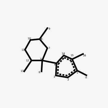 Cc1ccc(C2(C)CC(C)CCC2C)cc1C